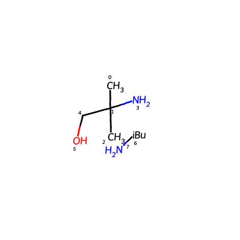 CC(C)(N)CO.CCC(C)N